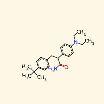 CCN(CC)c1ccc(C(Cc2ccc(C(C)(C)C)cc2)C(N)=O)cc1